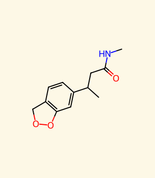 CNC(=O)CC(C)c1ccc2c(c1)OOC2